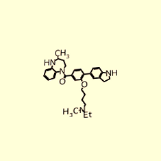 CCN(C)CCCCOc1cc(C(=O)N2CC[C@H](C)Nc3ccccc32)ccc1-c1ccc2c(c1)CCN2